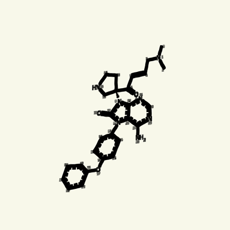 CN(C)C/C=C/C(=O)[C@]1(n2c(=O)n(-c3ccc(Oc4ccccc4)cc3)c3c(N)ncnc32)CCNC1